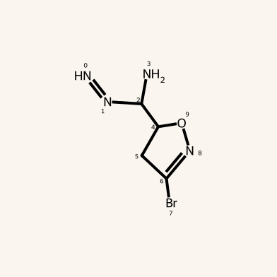 N=NC(N)C1CC(Br)=NO1